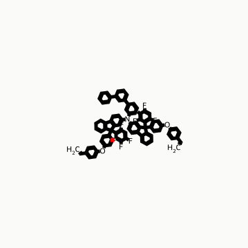 C=Cc1ccc(Oc2ccc(C3(c4c(F)cc(F)c(F)c4F)C4=C(CCC=C4)c4ccc(N(c5cccc(-c6cccc(-c7ccccc7)c6)c5)c5ccc6c(c5)C(c5ccc(Oc7ccc(C=C)cc7)cc5)(c5c(F)cc(F)c(F)c5F)c5ccccc5-6)cc43)cc2)cc1